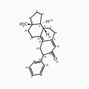 C[C@@]12CCC[C@H]1[C@@H]1CCC3=CC(=O)C(c4ccccc4)CC3=C1CC2